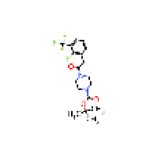 CC(C)(C)OC(=O)N1CCN(C(=O)Cc2cccc(C(F)(F)F)c2F)CC1